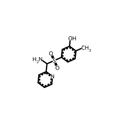 Cc1ccc(S(=O)(=O)C(N)c2ccccn2)cc1O